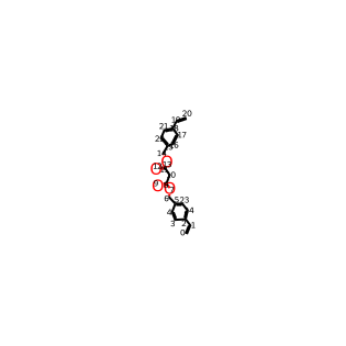 C=Cc1ccc(COC(=O)CC(=O)OCc2ccc(C=C)cc2)cc1